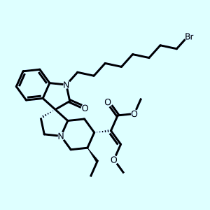 CC[C@H]1CN2CC[C@]3(C(=O)N(CCCCCCCCBr)c4ccccc43)C2C[C@@H]1/C(=C\OC)C(=O)OC